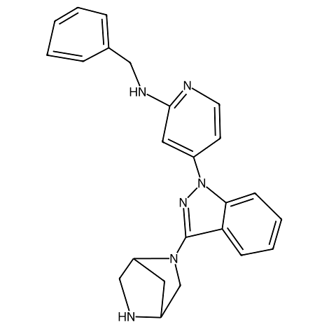 c1ccc(CNc2cc(-n3nc(N4CC5CC4CN5)c4ccccc43)ccn2)cc1